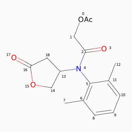 CC(=O)OCC(=O)N(c1c(C)cccc1C)C1COC(=O)C1